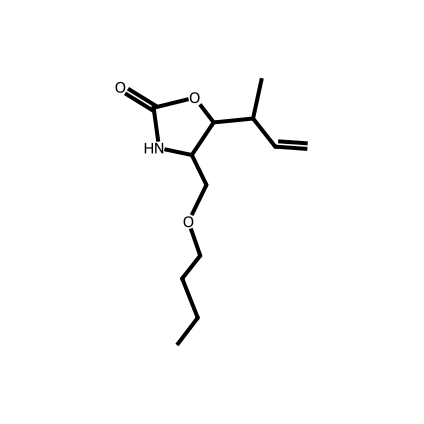 C=CC(C)C1OC(=O)NC1COCCCC